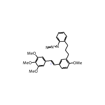 COc1ccc(/C=C/c2cc(OC)c(OC)c(OC)c2)cc1CCCc1ccccc1N=[N+]=[N-]